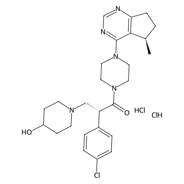 C[C@@H]1CCc2ncnc(N3CCN(C(=O)[C@@H](CN4CCC(O)CC4)c4ccc(Cl)cc4)CC3)c21.Cl.Cl